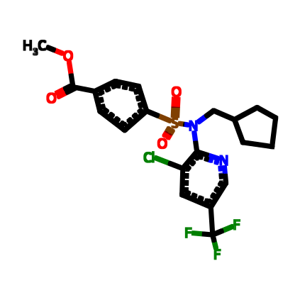 COC(=O)c1ccc(S(=O)(=O)N(CC2CCCC2)c2ncc(C(F)(F)F)cc2Cl)cc1